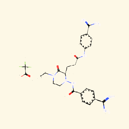 CC(=O)[C@@]1(CCC(=O)Nc2ccc(C(=N)N)cc2)C(=O)N(CC(=O)O)CCN1NC(=O)c1ccc(C(=N)N)cc1.O=C(O)C(F)(F)F